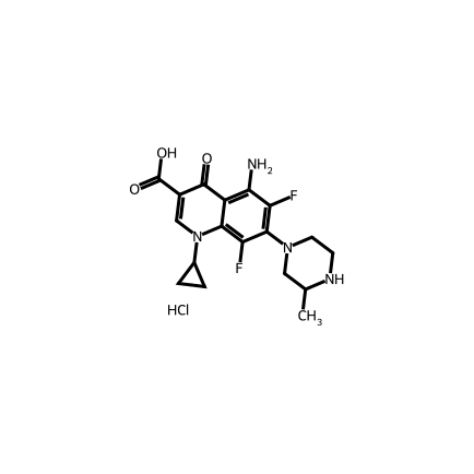 CC1CN(c2c(F)c(N)c3c(=O)c(C(=O)O)cn(C4CC4)c3c2F)CCN1.Cl